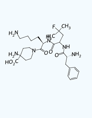 CC(C)(F)CC(NC(=O)[C@H](N)Cc1ccccc1)C(=O)N[C@H](CCCCN)C(=O)N1CCC(N)(C(=O)O)CC1